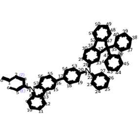 C=C/C=C\C(=C/C)n1c2ccccc2c2cc(-c3ccc(N(c4ccccc4)c4ccc5c(c4)C(c4ccccc4)(c4ccccc4)c4ccccc4-5)cc3)ccc21